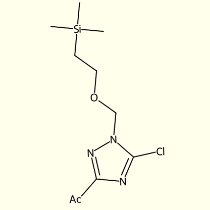 CC(=O)c1nc(Cl)n(COCC[Si](C)(C)C)n1